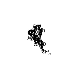 CCCCOC(=O)N1CCN(C(=O)C(CCO)NC(=O)c2cc(OCC(=O)N3CCCC3C(=O)NC3CCC3)c3ccccc3n2)CC1